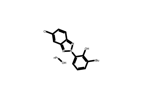 CC(C)(C)c1cccc(-n2nc3ccc(Cl)cc3n2)c1O.CCCO